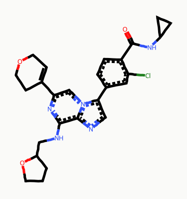 O=C(NC1CC1)c1ccc(-c2cnc3c(NCC4CCCO4)nc(C4=CCOCC4)cn23)cc1Cl